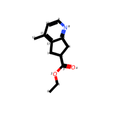 CCOC(=O)C1Cc2nccc(C)c2C1